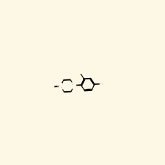 [CH2]c1cc(N)ccc1N1CCN(C)CC1